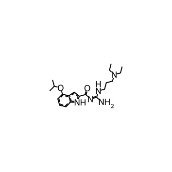 CCN(CC)CCCNC(N)=NC(=O)c1cc2c(OC(C)C)cccc2[nH]1